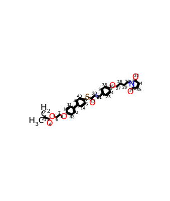 C=C(C)C(=O)OCCOc1ccc(-c2ccc(SC(=O)/C=C/c3ccc(OCCCCN4C(=O)C=CC4=O)cc3)cc2)cc1